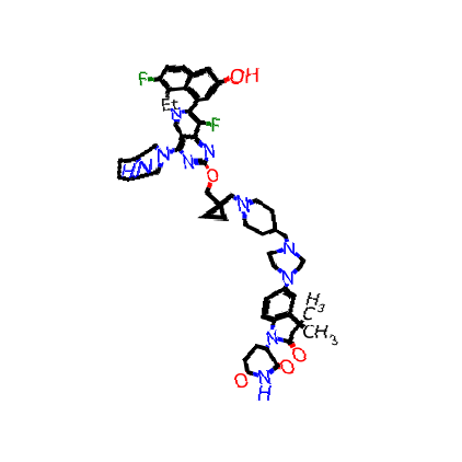 CCc1c(F)ccc2cc(O)cc(-c3ncc4c(N5CC6CCC(C5)N6)nc(OCC5(CN6CCC(CN7CCN(c8ccc9c(c8)C(C)(C)C(=O)N9C8CCC(=O)NC8=O)CC7)CC6)CC5)nc4c3F)c12